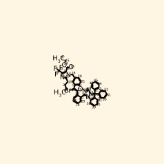 CCCCc1nc(C(F)(F)F)c(C(=O)OCC)n1Cc1ccc2oc(-c3ccccc3-c3nnn(C(c4ccccc4)(c4ccccc4)c4ccccc4)n3)c(Br)c2c1